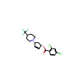 O=C(O[C@@H]1C=C[C@H](N2CCC(C(F)(F)F)CC2)C1)c1ccc(Cl)cc1Cl